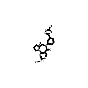 CCNc1ncc2c(n1)N1CCC[C@H]1CN(c1cccc(-c3nnc(CC)o3)c1)C2=O